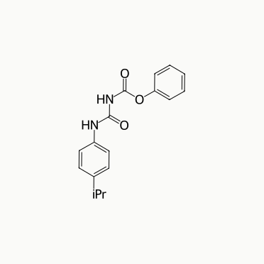 CC(C)c1ccc(NC(=O)NC(=O)Oc2ccccc2)cc1